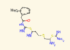 COc1ccccc1CC(=O)NC(=N)SC(=N)CCSCC(N)SC(=N)N